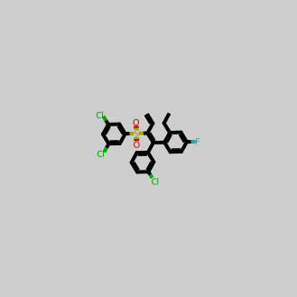 C=C/C(=C(/c1cccc(Cl)c1)c1ccc(F)cc1CC)S(=O)(=O)c1cc(Cl)cc(Cl)c1